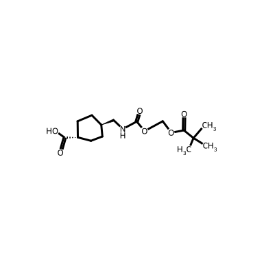 CC(C)(C)C(=O)OCOC(=O)NC[C@H]1CC[C@H](C(=O)O)CC1